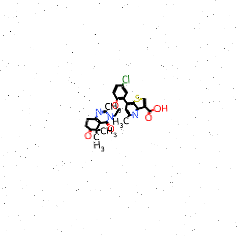 Cc1cc(-c2cc(Cl)ccc2OCCn2c(C)nc3c(c2=O)C(C)(C)C(=O)CC3)c2scc(C(=O)O)c2n1